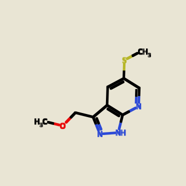 COCc1n[nH]c2ncc(SC)cc12